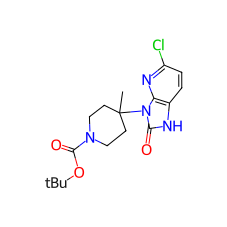 CC(C)(C)OC(=O)N1CCC(C)(n2c(=O)[nH]c3ccc(Cl)nc32)CC1